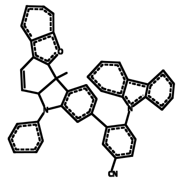 CC12c3ccc(-c4cc(C#N)ccc4-n4c5ccccc5c5ccccc54)cc3N(c3ccccc3)C1C=Cc1c2oc2ccccc12